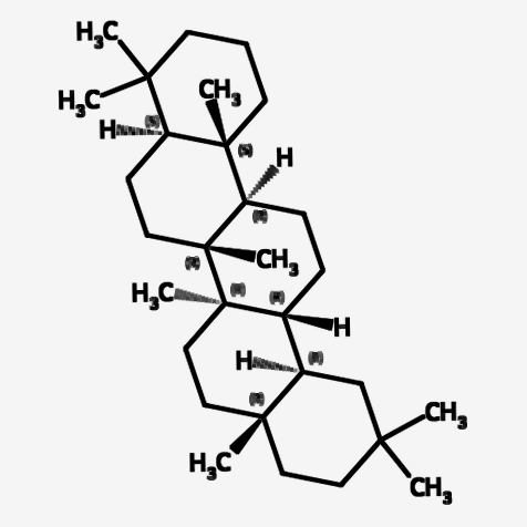 CC1(C)CC[C@]2(C)CC[C@]3(C)[C@H](CC[C@@H]4[C@@]5(C)CCCC(C)(C)[C@@H]5CC[C@]43C)[C@H]2C1